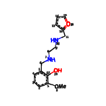 COc1cccc(CNCCNCc2ccco2)c1O